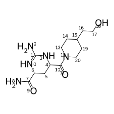 N=C(N)NC(CCC(N)=O)C(=O)N1CCC(CCO)CC1